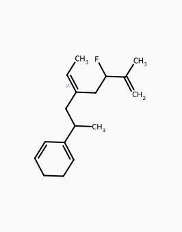 C=C(C)C(F)C/C(=C\C)CC(C)C1=CCCC=C1